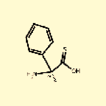 C[C@@](N)(C(O)=S)c1ccccc1